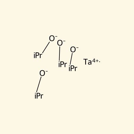 CC(C)[O-].CC(C)[O-].CC(C)[O-].CC(C)[O-].[Ta+4]